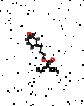 C=C(C)C(=O)OCCCC1CCC2OC2C1